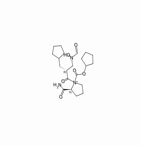 NC(=O)[C@@H]1CCC[N+]1(C(=O)OC1CCCC1)C(=O)[C@H](CC1CCCC1)CN(O)C=O